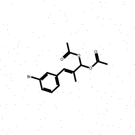 CC(=O)OC(OC(C)=O)/C(C)=C/c1cccc(Br)c1